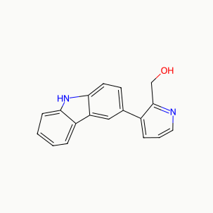 OCc1ncccc1-c1ccc2[nH]c3ccccc3c2c1